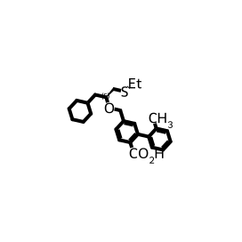 CCSC[C@H](CC1CCCCC1)OCc1ccc(C(=O)O)c(-c2ccccc2C)c1